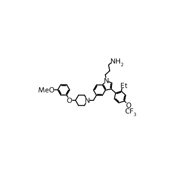 CCc1cc(OC(F)(F)F)ccc1-c1cn(CCCN)c2ccc(CN3CCC(Oc4cccc(OC)c4)CC3)cc12